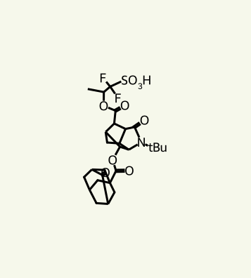 CC(OC(=O)C1C2CC3C1C(=O)N(C(C)(C)C)C3C2OC(=O)C12CC3CC(C1)C(=O)C(C3)C2)C(F)(F)S(=O)(=O)O